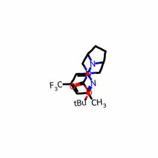 Cc1cc(C(F)(F)F)cc(N2C3CCC2CN(C(=O)OC(C)(C)C)C3)n1